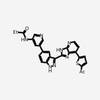 CCC(=O)Nc1cncc(-c2ccc3[nH]nc(-c4nc5c(-c6ccc(C(C)=O)s6)ccnc5[nH]4)c3c2)c1